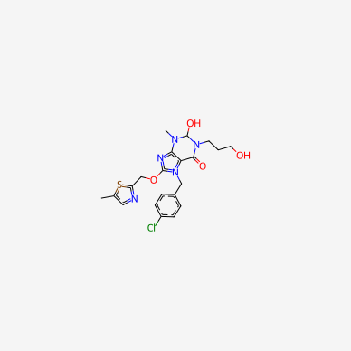 Cc1cnc(COc2nc3c(n2Cc2ccc(Cl)cc2)C(=O)N(CCCO)C(O)N3C)s1